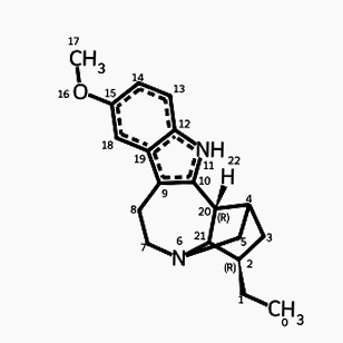 CC[C@@H]1CC2CN3CCc4c([nH]c5ccc(OC)cc45)[C@H]2C13